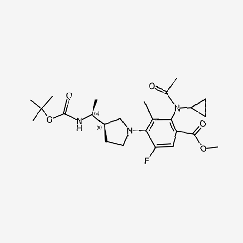 COC(=O)c1cc(F)c(N2CC[C@@H]([C@H](C)NC(=O)OC(C)(C)C)C2)c(C)c1N(C(C)=O)C1CC1